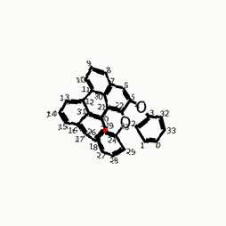 c1ccc(Oc2cc3cccc4c5cccc6cccc(c(c2Oc2ccccc2)c34)c65)cc1